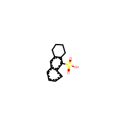 O=S(=O)(O)c1c2c(cc3ccccc13)CCCC2